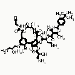 COc1c(OC[C@H](O)CN)cc2cc1-c1cc(cc(OC[C@H](O)CN)c1OC)[C@H](N(C)C(=O)[C@H](CCN)NC(=O)c1c(C)nc(-c3ccc(C(C)(C)C)cc3)nc1C)C(=O)N[C@@H](C)C(=O)N[C@H](C(=O)NCC#N)C2